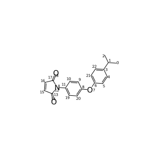 CC(C)c1ccc(Oc2ccc(N3C(=O)C=CC3=O)cc2)cc1